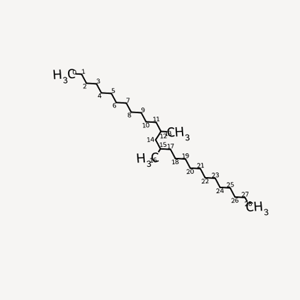 CCCCCCCCCCCCC(C)CC(C)CCCCCCCCCCCC